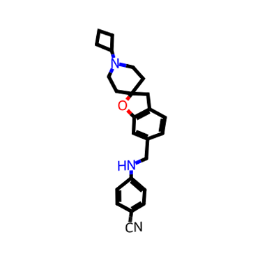 N#Cc1ccc(NCc2ccc3c(c2)OC2(CCN(C4CCC4)CC2)C3)cc1